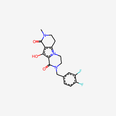 CN1CCc2c(c(O)c3n2CCN(Cc2ccc(F)c(F)c2)C3=O)C1=O